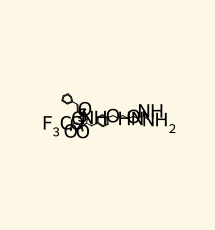 N=C(N)NOCCCOc1ccc(C[C@H](NS(=O)(=O)/C=C/c2ccccc2)C(=O)OC(=O)C(F)(F)F)cc1